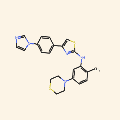 Cc1ccc(N2CCSCC2)cc1Nc1nc(-c2ccc(-n3ccnc3)cc2)cs1